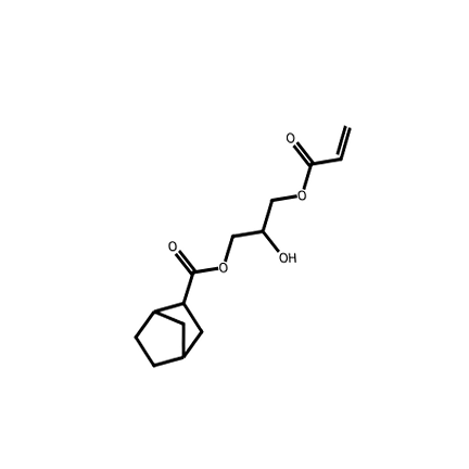 C=CC(=O)OCC(O)COC(=O)C1CC2CCC1C2